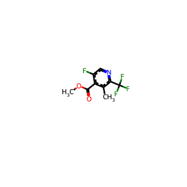 COC(=O)c1c(F)cnc(C(F)(F)F)c1C